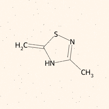 C=C1NC(C)=NS1